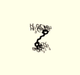 CCC(C)(C)c1ccc(CCCCc2ccc(C(C)(C)C)c([Si](C)(C)C)c2)cc1[Si](C)(C)C